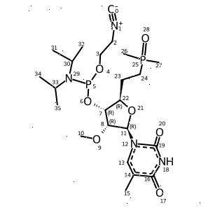 [C-]#[N+]CCOP(O[C@H]1[C@@H](OC)[C@H](n2cc(C)c(=O)[nH]c2=O)O[C@@H]1CCP(C)(C)=O)N(C(C)C)C(C)C